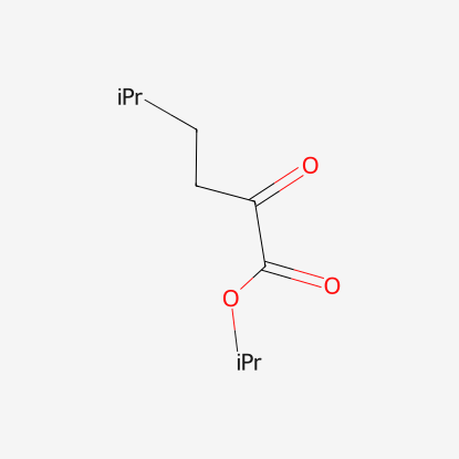 CC(C)CCC(=O)C(=O)OC(C)C